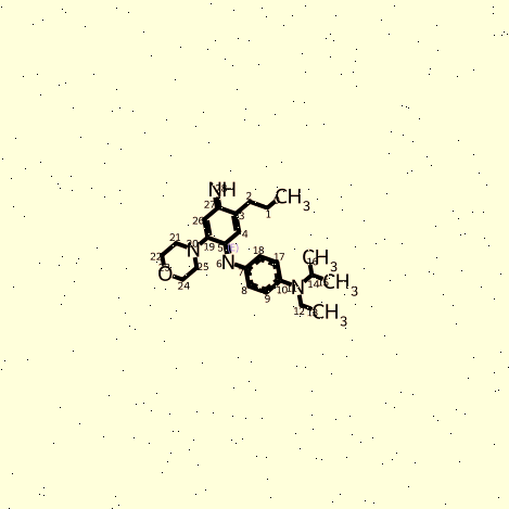 CCCC1=C/C(=N\c2ccc(N(CC)C(C)C)cc2)C(N2CCOCC2)=CC1=N